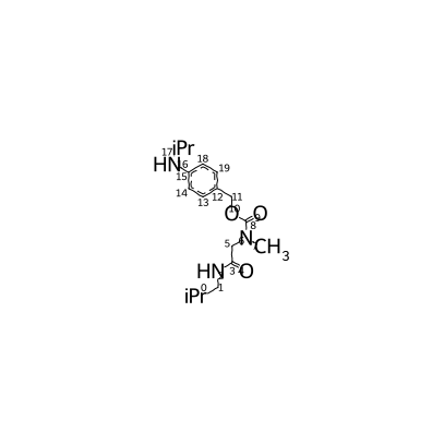 CC(C)CNC(=O)CN(C)C(=O)OCc1ccc(NC(C)C)cc1